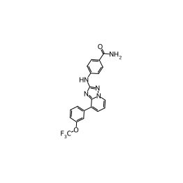 NC(=O)c1ccc(Nc2nc3c(-c4cccc(OC(F)(F)F)c4)cccn3n2)cc1